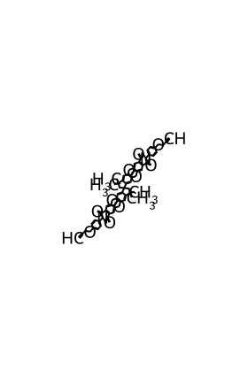 C#CCOc1ccc(-n2c(=O)c3cc4oc5cc6c(cc5oc4cc3c2=O)C2(CC6(C)C)CC(C)(C)c3cc4oc5cc6c(=O)n(-c7ccc(OCC#C)cc7)c(=O)c6cc5oc4cc32)cc1